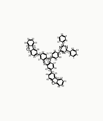 c1ccc(-c2nc(-c3ccccc3)nc(-c3ccc(N4c5ccc(-c6ccc7oc8ccccc8c7c6)cc5Sc5cc(-c6ccc7oc8ccccc8c7c6)ccc54)cc3)n2)cc1